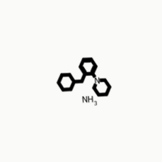 N.c1ccc(N2CCCCC2)c(CC2CCCCC2)c1